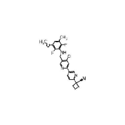 COc1cc(C)c(F)c(NCc2cnc(-c3ccc(C4(C#N)CCC4)nc3)cc2Cl)c1F